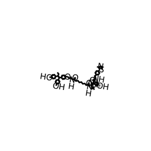 CCC(=C(c1ccc(O)cc1)c1ccc(OCCNC(=O)CCCCCCCC(=O)N[C@H](C(=O)N2C[C@H](O)C[C@H]2C(=O)NCc2ccc(-c3scnc3C)cc2)C(C)(C)C)cc1)c1ccc(O)cc1